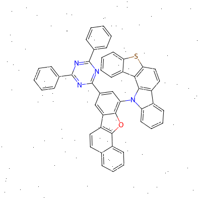 c1ccc(-c2nc(-c3ccccc3)nc(-c3cc(-n4c5ccccc5c5ccc6sc7ccccc7c6c54)c4oc5c6ccccc6ccc5c4c3)n2)cc1